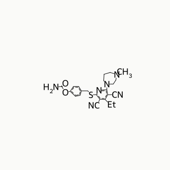 CCc1c(C#N)c(SCc2ccc(OC(N)=O)cc2)nc(N2CCCN(C)CC2)c1C#N